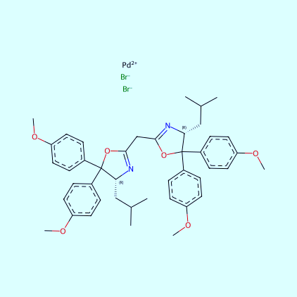 COc1ccc(C2(c3ccc(OC)cc3)OC(CC3=N[C@H](CC(C)C)C(c4ccc(OC)cc4)(c4ccc(OC)cc4)O3)=N[C@@H]2CC(C)C)cc1.[Br-].[Br-].[Pd+2]